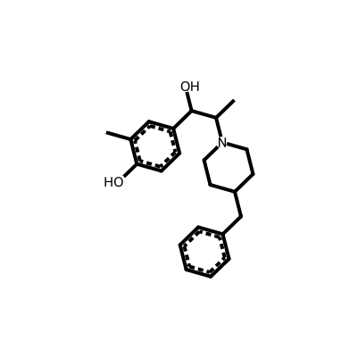 Cc1cc(C(O)C(C)N2CCC(Cc3ccccc3)CC2)ccc1O